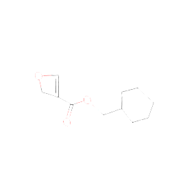 O=C(OCC1CCCCC1)C1=COC1